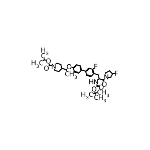 CC(C)OC(=O)N1CCC(C(C)Oc2ccc(-c3ccc(CC(NC(=O)OC(C)(C)C)C(=O)N4CCC(F)C4)c(F)c3)cc2)CC1